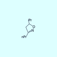 CCCC1=NOC(C(C)C)C1